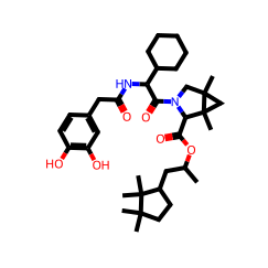 CC(CC1CCC(C)(C)C1(C)C)OC(=O)C1N(C(=O)C(NC(=O)Cc2ccc(O)c(O)c2)C2CCCCC2)CC2(C)CC12C